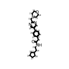 O=C(Cc1ccc(-c2cnc(CN3CCOCC3)nc2)cc1)NCCC1CCCC1